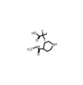 CNC(=O)C1CCNCC1.O=C(O)C(F)(F)F